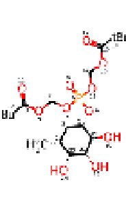 C[C@@H]1C[C@H](OP(=O)(OCOC(=O)C(C)(C)C)OCOC(=O)C(C)(C)C)[C@@H](O)[C@H](O)[C@@H]1O